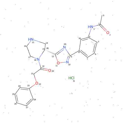 CC(=O)Nc1cccc(-c2noc([C@H]3CNCCN3C(=O)COc3ccccc3)n2)c1.Cl